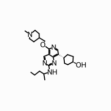 CCCC(C)Nc1ncc2c(OCC3CCN(C)CC3)ncc([C@H]3CC[C@H](O)CC3)c2n1